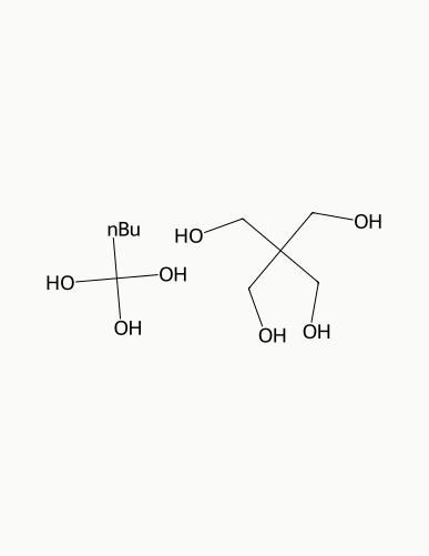 CCCCC(O)(O)O.OCC(CO)(CO)CO